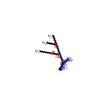 CCCCCCCCCCCOC(=O)CCCCCN(CCCCCCCC(=O)OC(CCCCCCCC)CCCCCCCC)CC(O)CCCCNC(=O)[C@H](CCCNC(=N)N)NC(=O)[C@@H](N)Cc1cnc[nH]1